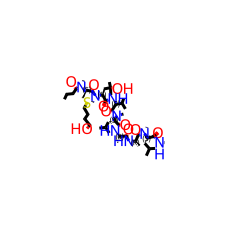 CCCC(=O)N(C)[C@H](CSCCCCO)C(=O)N(C)[C@@H](CC(C)(C)O)C(=O)N[C@H](C(=O)N(C)[C@@H](CC(C)C)C(=O)N[C@@H](C)C(=O)N[C@H](C)C(=O)N(C)[C@@H](CC(C)C)C(=O)NC)C(C)C